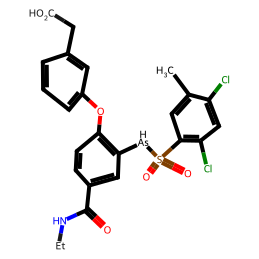 CCNC(=O)c1ccc(Oc2cccc(CC(=O)O)c2)c([AsH]S(=O)(=O)c2cc(C)c(Cl)cc2Cl)c1